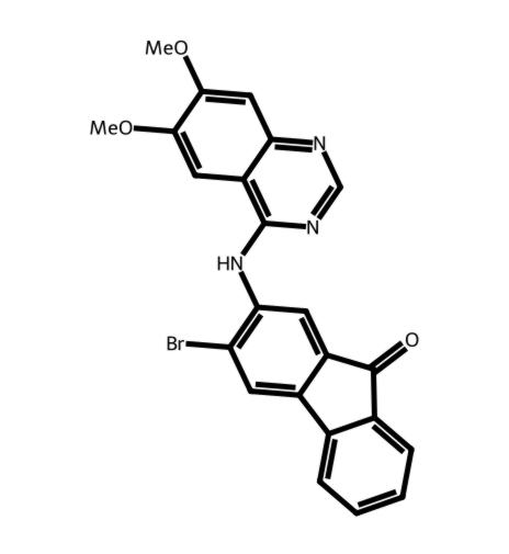 COc1cc2ncnc(Nc3cc4c(cc3Br)-c3ccccc3C4=O)c2cc1OC